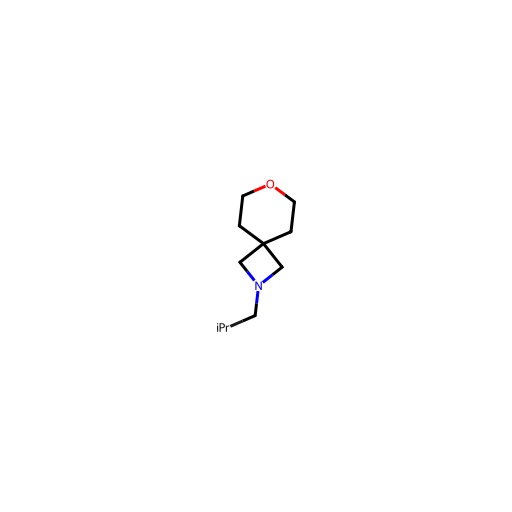 CC(C)CN1CC2(CCOCC2)C1